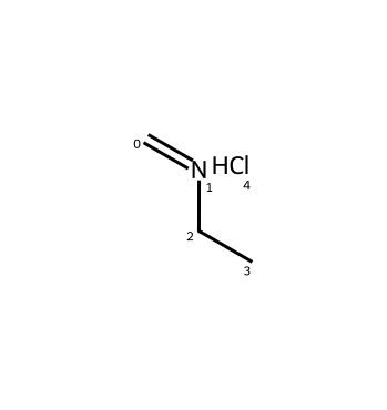 C=NCC.Cl